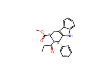 CCC(=O)N1[C@@H](c2ccccc2)c2[nH]c3ccccc3c2C[C@@H]1C(=O)OC